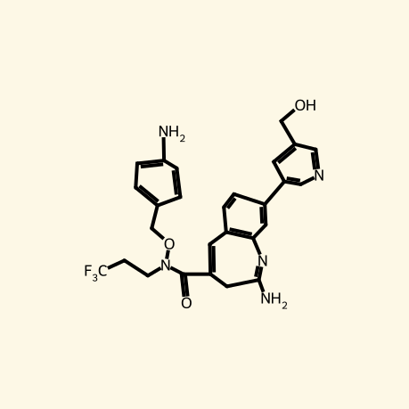 NC1=Nc2cc(-c3cncc(CO)c3)ccc2C=C(C(=O)N(CCC(F)(F)F)OCc2ccc(N)cc2)C1